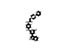 O=C(CN1CCN(c2ccccn2)CC1)NC1CCC(Nc2cc(-c3c[nH]c4ncccc34)cc(Cl)n2)CC1